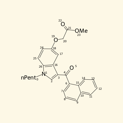 CCCCCn1cc(C(=O)c2cccc3ccccc23)c2cc(OCC(=O)OC)ccc21